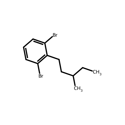 CCC(C)CCc1c(Br)cccc1Br